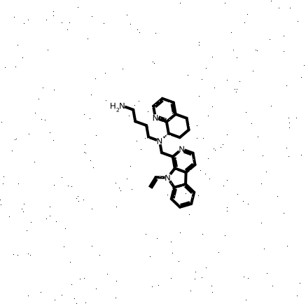 C=Cn1c2ccccc2c2ccnc(CN(CCCCN)[C@H]3CCCc4cccnc43)c21